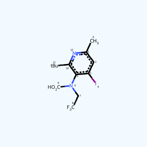 Cc1cc(I)c(N(CC(F)(F)F)C(=O)O)c(C(C)(C)C)n1